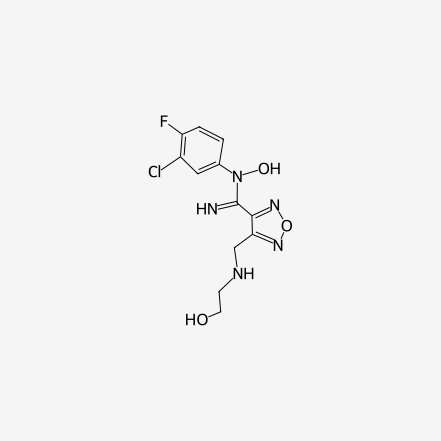 N=C(c1nonc1CNCCO)N(O)c1ccc(F)c(Cl)c1